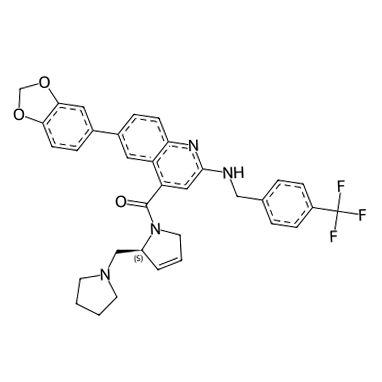 O=C(c1cc(NCc2ccc(C(F)(F)F)cc2)nc2ccc(-c3ccc4c(c3)OCO4)cc12)N1CC=C[C@H]1CN1CCCC1